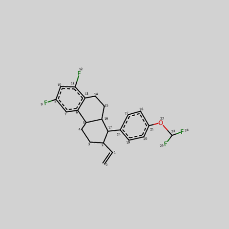 C=CC1CCC2c3cc(F)cc(F)c3CCC2C1c1ccc(OC(F)F)cc1